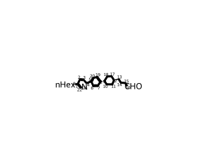 CCCCCCc1ccc(-c2ccc([C@H]3CC[C@H](CCCC=O)CC3)cc2)nc1